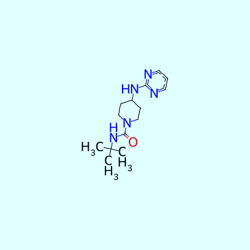 CC(C)(C)NC(=O)N1CCC(Nc2ncccn2)CC1